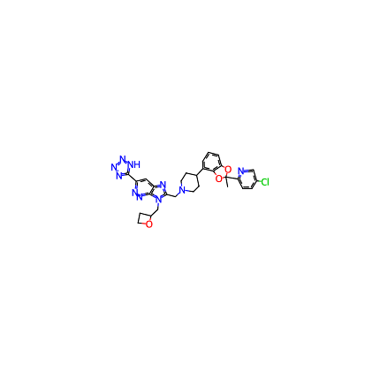 CC1(c2ccc(Cl)cn2)Oc2cccc(C3CCN(Cc4nc5cc(-c6nnn[nH]6)nnc5n4CC4CCO4)CC3)c2O1